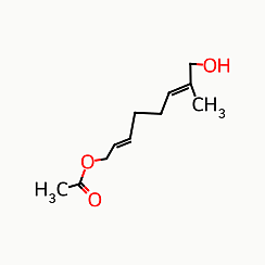 CC(=O)OC/C=C/CC/C=C(\C)CO